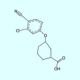 N#Cc1ccc(OC2CC[CH]C(C(=O)O)C2)cc1Cl